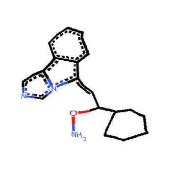 NOC(C=c1c2ccccc2c2cncn12)C1CCCCC1